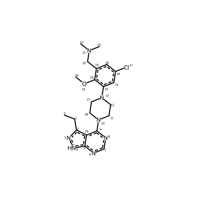 CCc1n[nH]c2ncnc(N3CCN(c4cc(Cl)cc(CN(C)C)c4OC)CC3)c12